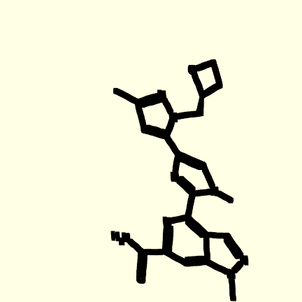 Cc1cc(-c2cn(C)c(-c3nc(C(N)=O)cc4c3cnn4C)n2)n(C[C@@H]2CCO2)n1